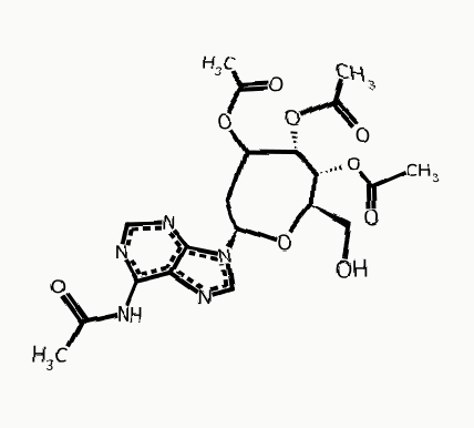 CC(=O)Nc1ncnc2c1ncn2[C@H]1CC(OC(C)=O)[C@H](OC(C)=O)[C@H](OC(C)=O)[C@@H](CO)O1